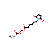 CNC(=O)OCOC(=O)CCCCCN1C(=O)C=CC1=O